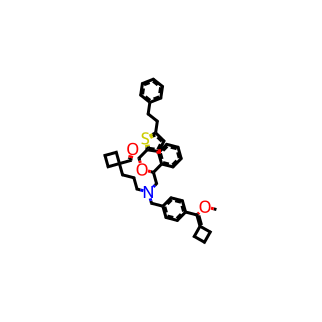 COC(=C1CCC1)c1ccc(CN(CCCC2(C=O)CCC2)CC(OCc2ccc(CCc3ccccc3)s2)c2ccccc2)cc1